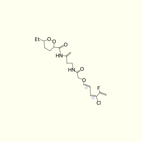 C=C(CCNC(=O)CO/C=C/C=C(/Cl)C(=C)F)NC(=O)C1CCC(CC)OO1